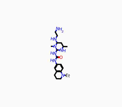 CCN1CCCc2cc(NC(=O)NC3NC(C)CC(NCCN)N3C)ccc21